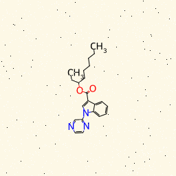 CCCCCCC(CC)OC(=O)c1cn(-c2cnccn2)c2ccccc12